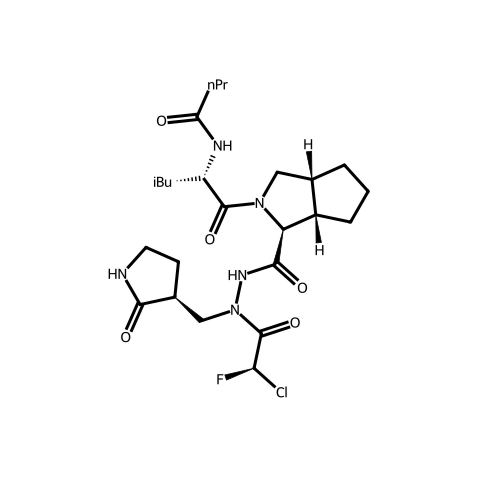 CCCC(=O)N[C@H](C(=O)N1C[C@@H]2CCC[C@@H]2[C@H]1C(=O)NN(C[C@@H]1CCNC1=O)C(=O)[C@H](F)Cl)[C@@H](C)CC